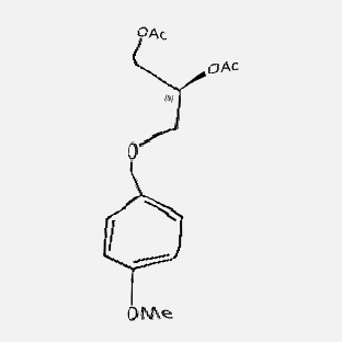 COc1ccc(OC[C@@H](COC(C)=O)OC(C)=O)cc1